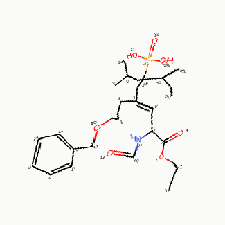 CCOC(=O)C(C=C(CCOCc1ccccc1)C(C(C)C)(C(C)C)P(=O)(O)O)NC=O